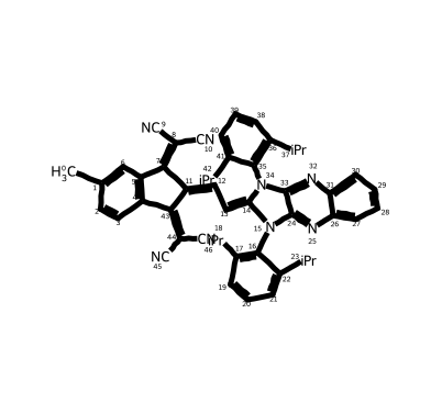 Cc1ccc2c(c1)C(=C(C#N)C#N)/C(=C/C=C1N(c3c(C(C)C)cccc3C(C)C)c3nc4ccccc4nc3N1c1c(C(C)C)cccc1C(C)C)C2=C(C#N)C#N